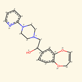 OC(CN1CCN(c2ccccn2)CC1)c1ccc2c(c1)OC=CCO2